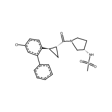 CS(=O)(=O)N[C@H]1CCN(C(=O)[C@@H]2C[C@H]2c2ccc(Cl)cc2-c2ccccc2)C1